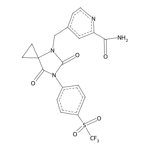 NC(=O)c1cc(CN2C(=O)N(c3ccc(S(=O)(=O)C(F)(F)F)cc3)C(=O)C23CC3)ccn1